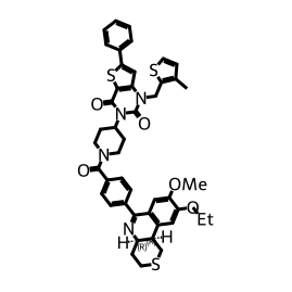 CCOc1cc2c(cc1OC)C(c1ccc(C(=O)N3CCC(n4c(=O)c5sc(-c6ccccc6)cc5n(Cc5sccc5C)c4=O)CC3)cc1)=N[C@@H]1CCSC[C@H]21